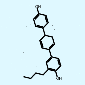 CCCCc1cc(C2=CCC(c3ccc(O)cc3)C=C2)ccc1O